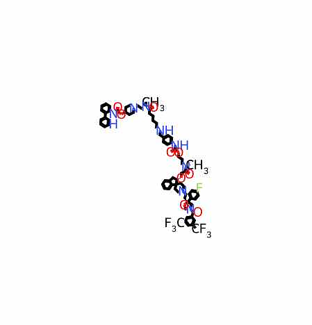 CN(CCN1CCC(OC(=O)Nc2ccccc2-c2ccccc2)CC1)C(=O)CCCCCNCc1ccc(NC(=O)OCCCN(C)C(=O)CO[C@H]2Cc3ccccc3C23CCN(CC[C@@]2(c4ccc(F)cc4)CN(C(=O)c4cc(C(F)(F)F)cc(C(F)(F)F)c4)CO2)CC3)cc1